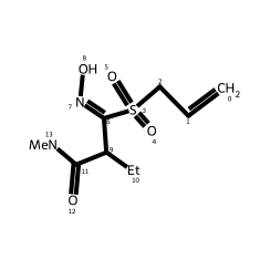 C=CCS(=O)(=O)C(=NO)C(CC)C(=O)NC